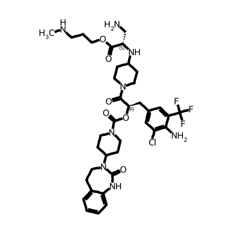 CNCCCOC(=O)[C@H](CN)NC1CCN(C(=O)[C@@H](Cc2cc(Cl)c(N)c(C(F)(F)F)c2)OC(=O)N2CCC(N3CCc4ccccc4NC3=O)CC2)CC1